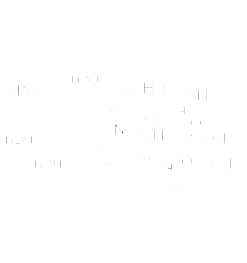 CCCCc1c(CCCC)c(CCCC)c2c(c1CCCC)C(=O)N([SiH]1O[SiH2]O[Si](C)(C)O[Si](C)(C)O1)C2=O